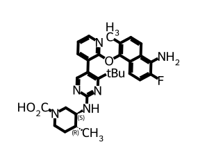 Cc1ccc2c(N)c(F)ccc2c1Oc1ncccc1-c1cnc(N[C@@H]2CN(C(=O)O)CC[C@H]2C)nc1C(C)(C)C